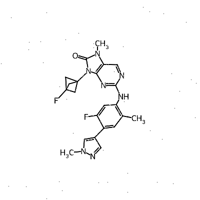 Cc1cc(-c2cnn(C)c2)c(F)cc1Nc1ncc2c(n1)n(C13CC(F)(C1)C3)c(=O)n2C